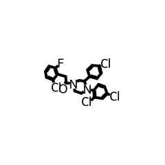 O=C(Cc1c(F)cccc1Cl)N1CCN(c2ccc(Cl)cc2Cl)C(c2ccc(Cl)cc2)C1